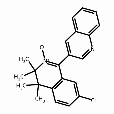 CC1(C)c2ccc(Cl)cc2C(c2cnc3ccccc3c2)=[N+]([O-])C1(C)C